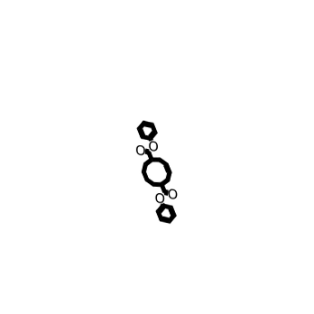 O=C(Oc1ccccc1)C1CC=CCC(C(=O)Oc2ccccc2)CCCC1